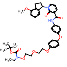 CCN(OCCOCCOc1ccc(Oc2ccc(NC(=O)c3cccn(C4CCc5c(OC)cccc54)c3=O)cc2)cc1)C(=O)OC(C)(C)C